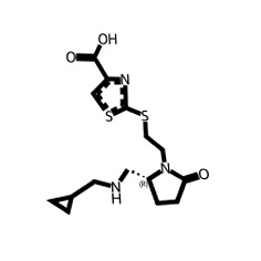 O=C(O)c1csc(SCCN2C(=O)CC[C@@H]2CNCC2CC2)n1